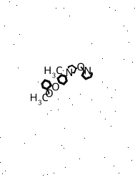 COc1ccccc1Oc1ccc(N2CCC(Oc3ccccn3)C2)c(C)c1